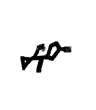 N#C[C@@H]1CCN(C(=O)[C@H](N)C2CC2)C1